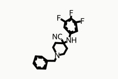 N#CC1(Nc2cc(F)c(F)c(F)c2)CCN(Cc2ccccc2)CC1